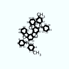 Cc1ccc(N(c2ccccc2)c2cc3oc4cc(N(c5ccccc5)c5ccc(C)cc5)c5c6ccccc6oc5c4c3c3c2oc2ccccc23)cc1